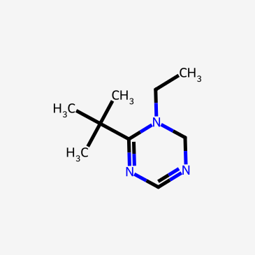 CCN1CN=CN=C1C(C)(C)C